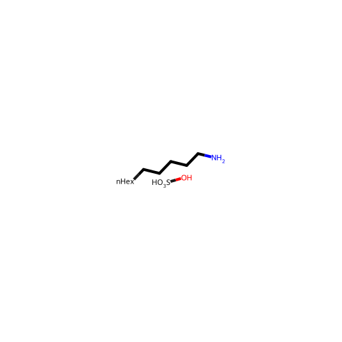 CCCCCCCCCCCN.O=S(=O)(O)O